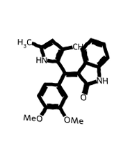 COc1ccc(C(=C2C(=O)Nc3ccccc32)c2[nH]c(C)cc2C)cc1OC